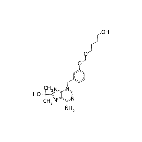 CC(C)(O)c1nc2c(N)ncn(Cc3cccc(OCOCCCCO)c3)c-2n1